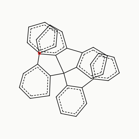 c1ccc(-c2ccccc2C2(c3ccccc3-c3ccccc3)c3ccccc3-c3ccccc32)cc1